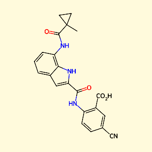 CC1(C(=O)Nc2cccc3cc(C(=O)Nc4ccc(C#N)cc4C(=O)O)[nH]c23)CC1